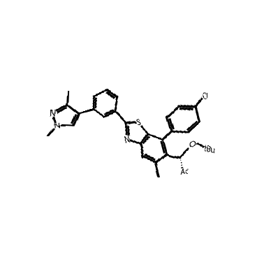 CC(=O)[C@@H](OC(C)(C)C)c1c(C)cc2nc(-c3cccc(-c4cn(C)nc4C)c3)sc2c1-c1ccc(Cl)cc1